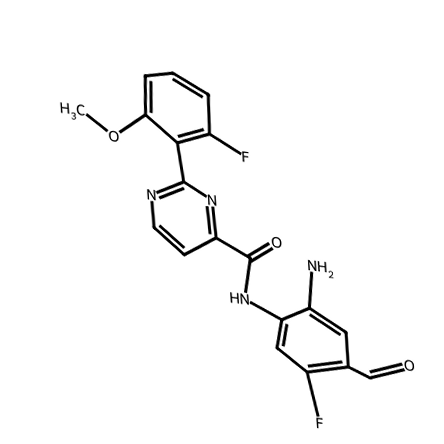 COc1cccc(F)c1-c1nccc(C(=O)Nc2cc(F)c(C=O)cc2N)n1